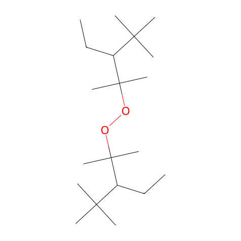 CCC(C(C)(C)C)C(C)(C)OOC(C)(C)C(CC)C(C)(C)C